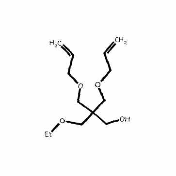 C=CCOCC(CO)(COCC)COCC=C